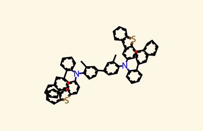 Cc1cc(-c2ccc(N(c3ccc4sc5ccccc5c4c3)c3ccccc3-c3ccc4ccccc4c3)c(C)c2)ccc1N(c1ccc2sc3ccccc3c2c1)c1ccccc1-c1ccc2ccccc2c1